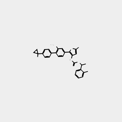 CCOC(=O)C1(c2ccc(-c3ccc(-c4sc(F)cc4NC(=O)OC(C)c4ccccc4C)cc3OC)cc2)CC1